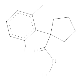 Cc1cccc(F)c1C1(C(=O)NO)CCCC1